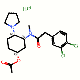 CC(=O)O[C@@H]1CC[C@H](N2CCCC2)[C@@H](N(C)C(=O)Cc2ccc(Cl)c(Cl)c2)C1.Cl